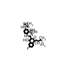 CC(C)CC[C@]1(C)C(=O)C(C2=NS(O)(O)c3cc(NS(C)(=O)=O)ccc3N2)=C(O)c2cc(F)ccc21